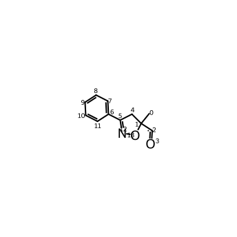 CC1([C]=O)CC(c2ccccc2)=NO1